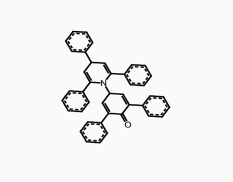 O=C1C(c2ccccc2)=CC(N2C(c3ccccc3)=CC(c3ccccc3)C=C2c2ccccc2)C=C1c1ccccc1